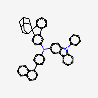 c1ccc(-n2c3ccccc3c3cc(N(c4ccc(-c5cccc6ccccc56)cc4)c4ccc5c(c4)-c4ccccc4C54C5CC6CC(C5)CC4C6)ccc32)cc1